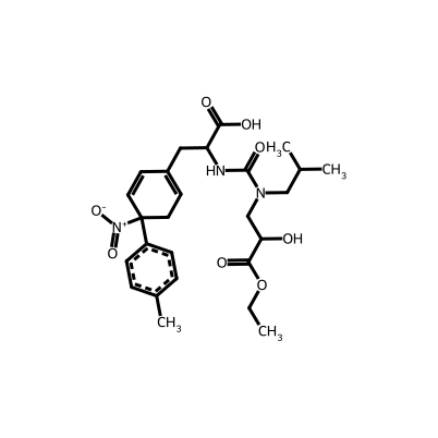 CCOC(=O)C(O)CN(CC(C)C)C(=O)NC(CC1=CCC(c2ccc(C)cc2)([N+](=O)[O-])C=C1)C(=O)O